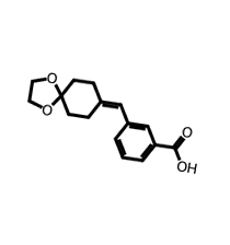 O=C(O)c1cccc(C=C2CCC3(CC2)OCCO3)c1